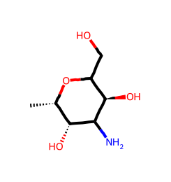 C[C@@H]1OC(CO)[C@@H](O)C(N)[C@@H]1O